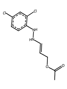 CC(=O)OCC=CNNc1ccc(Cl)cc1Cl